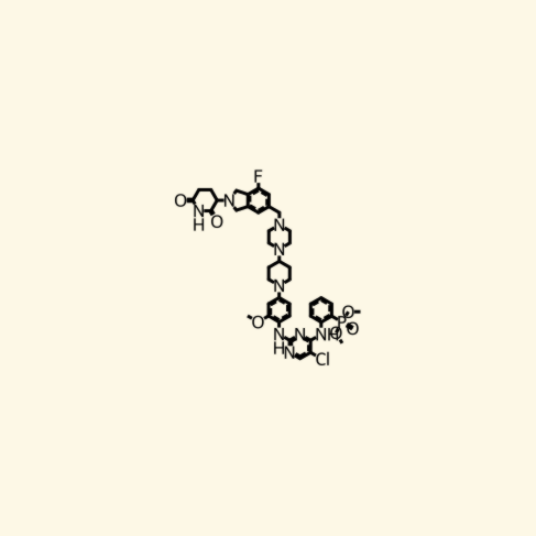 COc1cc(N2CCC(N3CCN(Cc4cc(F)c5c(c4)CN(C4CCC(=O)NC4=O)C5)CC3)CC2)ccc1Nc1ncc(Cl)c(Nc2ccccc2P(=O)(OC)OC)n1